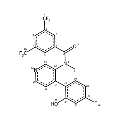 CN(C(=O)c1cc(C(F)(F)F)cc(C(F)(F)F)c1)c1cnccc1-c1ccc(F)cc1O